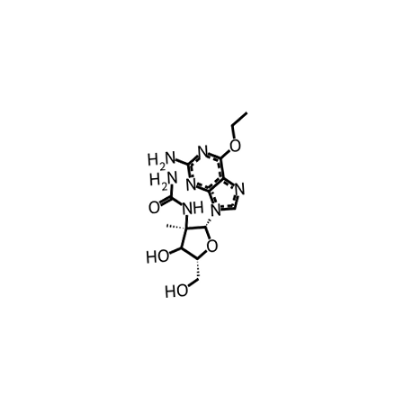 CCOc1nc(N)nc2c1ncn2[C@@H]1O[C@H](CO)C(O)[C@@]1(C)NC(N)=O